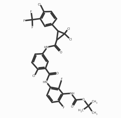 CC(C)(C)OC(=O)Nc1c(F)ccc(NC(=O)c2cc(NC(=O)C3C(c4ccc(Cl)c(C(F)(F)F)c4)C3(Cl)Cl)ccc2Cl)c1F